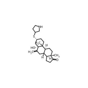 C=C1C[C@H]2[C@@H]3CCC(=O)[C@@]3(C)CC[C@@H]2[C@@]2(C)CC[C@@H](SC3CCNC3)C[C@]12O